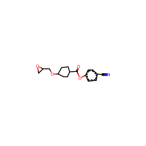 N#Cc1ccc(OC(=O)C2CCC(OCC3CO3)CC2)cc1